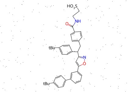 CC(C)(C)c1ccc(-c2cccc(-c3cc(C(Cc4ccc(C(=O)NCCS(=O)(=O)O)cc4)c4ccc(C(C)(C)C)cc4)no3)c2)cc1